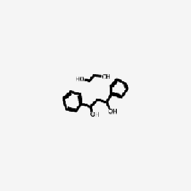 OC(CC(O)c1ccccc1)c1ccccc1.OCCO